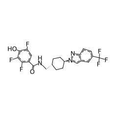 O=C(NC[C@H]1CC[C@H](n2cc3cc(C(F)(F)F)ccc3n2)CC1)c1cc(F)c(O)c(F)c1F